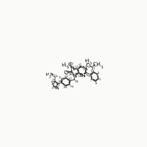 CC(C)c1ccccc1-c1ncc2c(n1)n(Cc1ccc(-c3ncsc3CN)cc1)c(=O)n2C